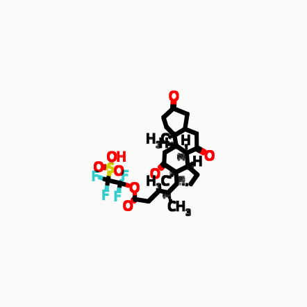 C[C@H](CCC(=O)OC(F)(F)C(F)(F)S(=O)(=O)O)[C@H]1CC[C@H]2[C@@H]3C(=O)CC4CC(=O)CC[C@]4(C)[C@H]3CC(=O)[C@]12C